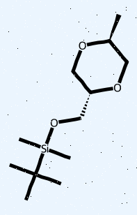 C[C@H]1CO[C@H](CO[Si](C)(C)C(C)(C)C)CO1